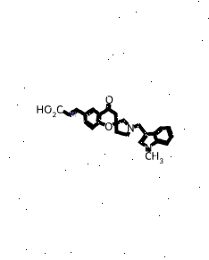 Cn1cc(CN2CCC3(CC(=O)c4cc(/C=C/C(=O)O)ccc4O3)C2)c2ccccc21